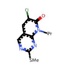 CSc1ncc2cc(Cl)c(=O)n(C(C)C)c2n1